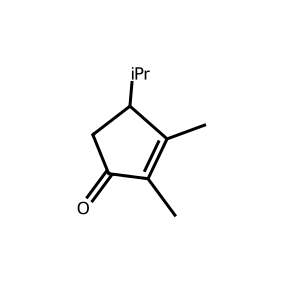 CC1=C(C)C(C(C)C)CC1=O